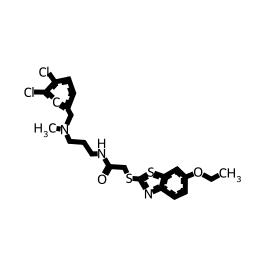 CCOc1ccc2nc(SCC(=O)NCCCN(C)Cc3ccc(Cl)c(Cl)c3)sc2c1